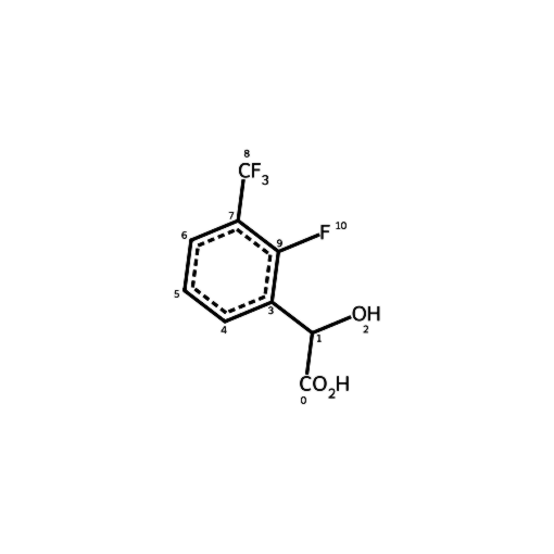 O=C(O)C(O)c1cccc(C(F)(F)F)c1F